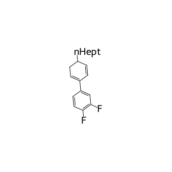 CCCCCCCC1C=CC(c2ccc(F)c(F)c2)=CC1